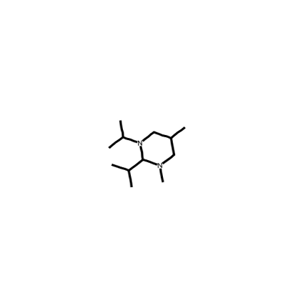 CC1CN(C)C(C(C)C)N(C(C)C)C1